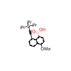 COc1ccc(B(O)O)c2c(C#C[Si](C(C)C)(C(C)C)C(C)C)cccc12